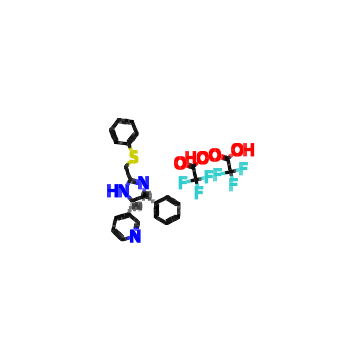 O=C(O)C(F)(F)F.O=C(O)C(F)(F)F.c1ccc(SCC2=N[C@H](c3ccccc3)[C@H](c3cccnc3)N2)cc1